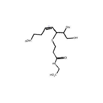 CCCCCCCCCCCC/C=C\C(SCCC(=O)NCC(=O)O)C(O)CO